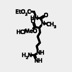 CCOC(=O)CNC(=O)N(C)C(CCCCNC(=N)N)C(=O)OC.Cl